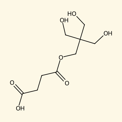 O=C(O)CCC(=O)OCC(CO)(CO)CO